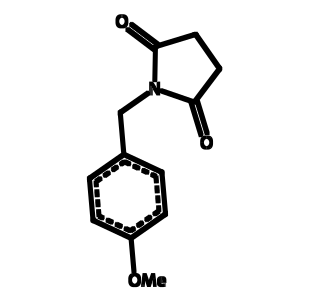 COc1ccc(CN2C(=O)CCC2=O)cc1